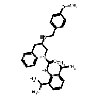 COc1ccc(CNC(CNC(=O)Nc2c(C(C)C)cccc2C(C)C)Cc2ccccc2)cc1